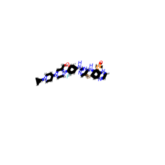 CP(C)(=O)c1c(Nc2nc(Nc3cc(F)c4c(c3)OCC3CN(C5CCN(C6CC6)CC5)CCN43)ncc2Br)ccc2nccnc12